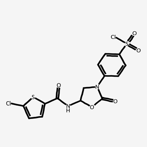 O=C(NC1CN(c2ccc(S(=O)(=O)Cl)cc2)C(=O)O1)c1ccc(Cl)s1